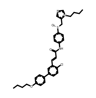 CCCCOc1ccc(-c2ccc(Cl)c(/C=C/C(=O)Nc3ccc([S@+]([O-])Cc4cncn4CCCC)cc3)c2)cc1